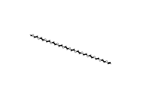 C=COCCOCCOCCOCCOCCOCCOCCOCCOCCOCCOCCOCCOC